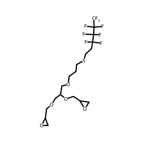 FC(F)(F)C(F)(F)C(F)(F)C(F)(F)CCSCCCOCC(COCC1CO1)OCC1CO1